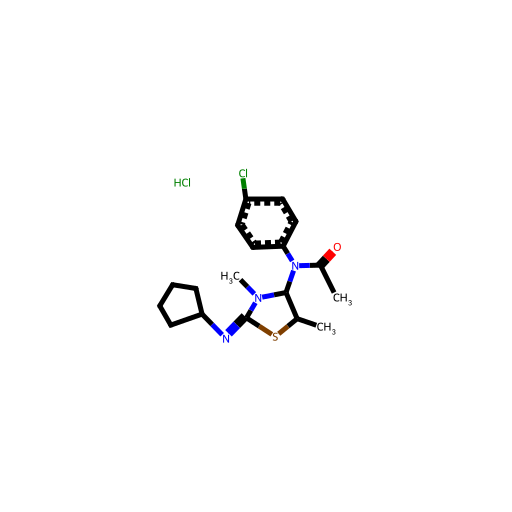 CC(=O)N(c1ccc(Cl)cc1)C1C(C)SC(=NC2CCCC2)N1C.Cl